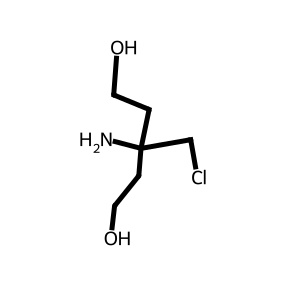 NC(CCl)(CCO)CCO